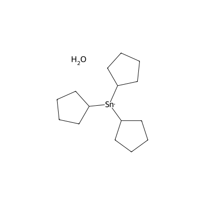 C1CC[CH]([Sn]([CH]2CCCC2)[CH]2CCCC2)C1.O